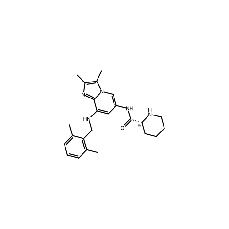 Cc1cccc(C)c1CNc1cc(NC(=O)[C@H]2CCCCN2)cn2c(C)c(C)nc12